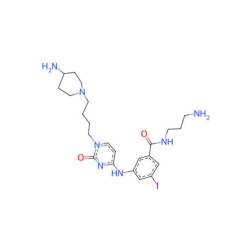 NCCCNC(=O)c1cc(I)cc(Nc2ccn(CCCCN3CCC(N)CC3)c(=O)n2)c1